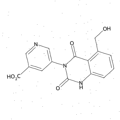 O=C(O)c1cncc(-n2c(=O)[nH]c3cccc(CO)c3c2=O)c1